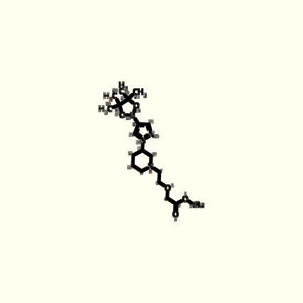 CC(C)(C)OC(=O)COCCN1CCCC(n2cc(B3OC(C)(C)C(C)(C)O3)cn2)C1